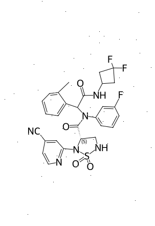 Cc1ccccc1C(C(=O)NC1CC(F)(F)C1)N(C(=O)[C@@H]1CNS(=O)(=O)N1c1cc(C#N)ccn1)c1cccc(F)c1